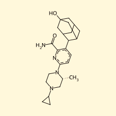 C[C@@H]1CN(C2CC2)CCN1c1ccc(C2C3CC4CC2CC(O)(C4)C3)c(C(N)=O)n1